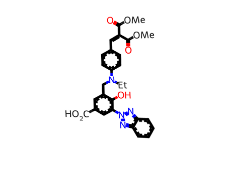 CCN(Cc1cc(C(=O)O)cc(-n2nc3ccccc3n2)c1O)c1ccc(C=C(C(=O)OC)C(=O)OC)cc1